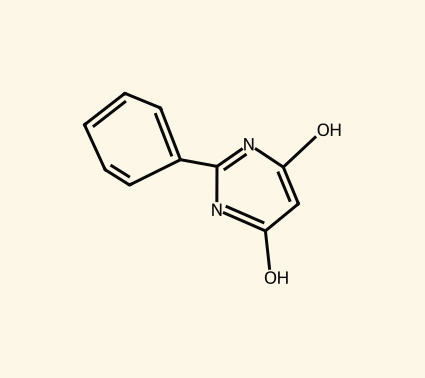 Oc1cc(O)nc(-c2ccccc2)n1